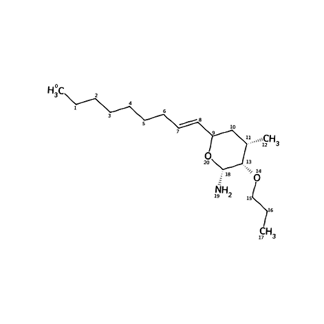 CCCCCCC/C=C/C1C[C@H](C)[C@H](OCCC)[C@H](N)O1